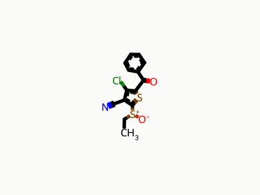 CC[S+]([O-])c1sc(C(=O)c2ccccc2)c(Cl)c1C#N